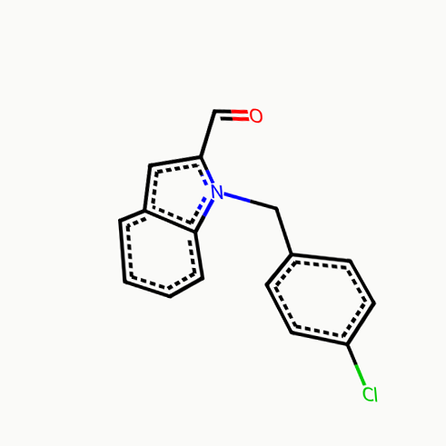 O=Cc1cc2ccccc2n1Cc1ccc(Cl)cc1